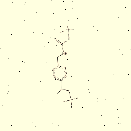 CC(CC(C)(C)C)c1ccc(CNC(=O)OC(C)(C)C)cc1